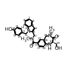 CN(Cc1cc2ccccc2n1Cc1ccc(O)cc1)C(=O)c1ccc2c(c1)CN(C)C(=O)[C@@H](CO)N2